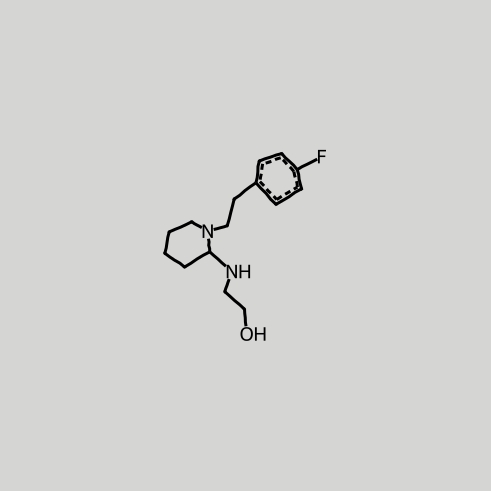 OCCNC1CCCCN1CCc1ccc(F)cc1